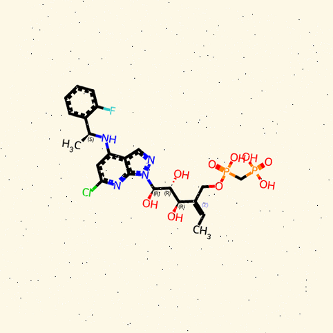 C/C=C(/COP(=O)(O)CP(=O)(O)O)[C@@H](O)[C@@H](O)[C@@H](O)n1ncc2c(N[C@@H](C)c3ccccc3F)cc(Cl)nc21